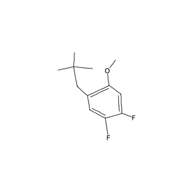 COc1cc(F)c(F)cc1CC(C)(C)C